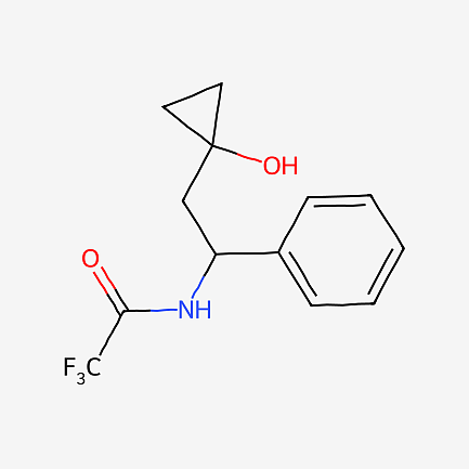 O=C(NC(CC1(O)CC1)c1ccccc1)C(F)(F)F